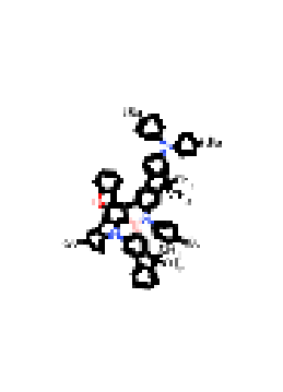 CC(C)(C)c1ccc(N2B3c4cc5c(cc4-n4c6ccc(C(C)(C)C)cc6c6c7oc8ccccc8c7c(c3c64)-c3cc4c(cc32)C(C)(C)c2cc(N(c3ccc(C(C)(C)C)cc3)c3ccc(C(C)(C)C)cc3)ccc2-4)-c2ccccc2C5(C)C)cc1